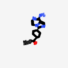 COC(=O)[C@H]1CC[C@H](c2ncc3c(N)nccn32)CC1